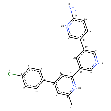 Cc1cc(-c2ccc(Cl)cc2)cc(-c2cncc(-c3ccc(N)nc3)c2)n1